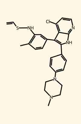 C=CSNc1cc(-c2c(-c3ccc(N4CCN(C)CC4)cc3)[nH]c3nccc(Cl)c23)ccc1C